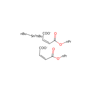 CCCOC(=O)/C=C\C(=O)[O-].CCCOC(=O)/C=C\C(=O)[O-].CCC[CH2][Sn+2][CH2]CCC